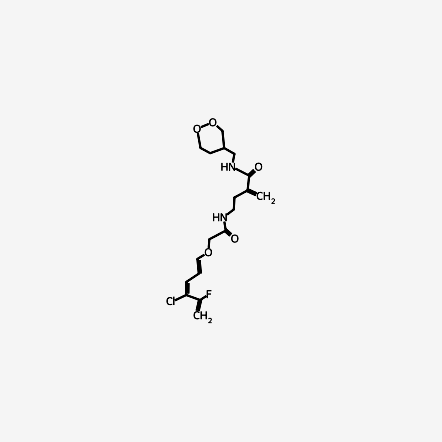 C=C(CCNC(=O)CO/C=C/C=C(/Cl)C(=C)F)C(=O)NCC1CCOOC1